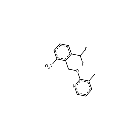 Cc1cccnc1OCc1c(C(F)F)cccc1[N+](=O)[O-]